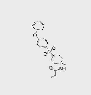 C=CC(=O)NC1(C)CCN(S(=O)(=O)c2ccc(Oc3ccccn3)cc2)CC1